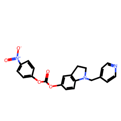 O=C(Oc1ccc([N+](=O)[O-])cc1)Oc1ccc2c(c1)CCN2Cc1ccncc1